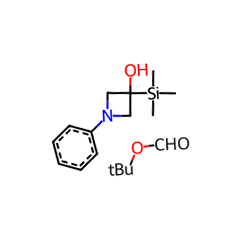 CC(C)(C)OC=O.C[Si](C)(C)C1(O)CN(c2ccccc2)C1